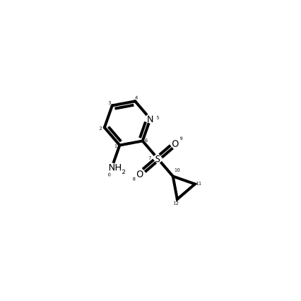 Nc1cccnc1S(=O)(=O)C1CC1